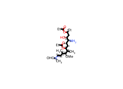 CCC(=O)OC(CC)C[C@H](O)[C@@H](N)CCC(OC(=O)CC)C(C)[C@H](OC)C(C)/C=C/N(C)C=O